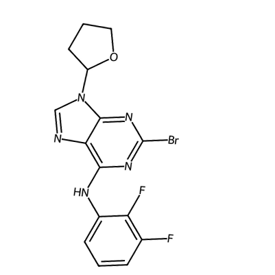 Fc1cccc(Nc2nc(Br)nc3c2ncn3C2CCCO2)c1F